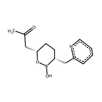 CC(=O)C[C@@H]1CC[C@H](Cc2ccccn2)B(O)O1